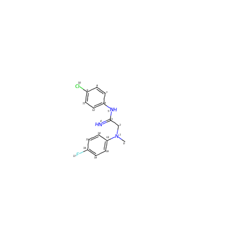 CN(CC(=N)Nc1ccc(Cl)cc1)c1ccc(F)cc1